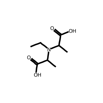 CCN(C(C)C(=O)O)C(C)C(=O)O